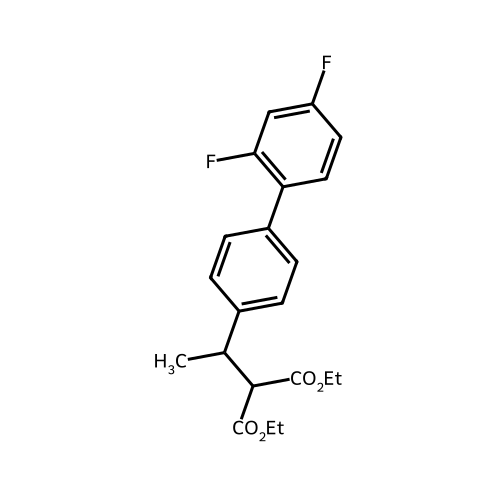 CCOC(=O)C(C(=O)OCC)C(C)c1ccc(-c2ccc(F)cc2F)cc1